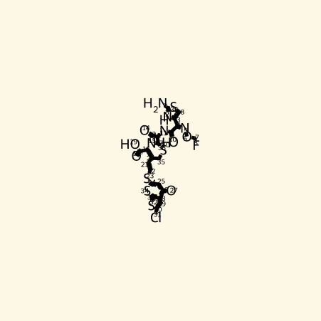 Nc1nc(/C(=N/OCF)C(=O)NC2C(=O)N3C(C(=O)O)=C(/C=C/Sc4cc(=O)c5cc(Cl)sc5s4)CS[C@H]23)cs1